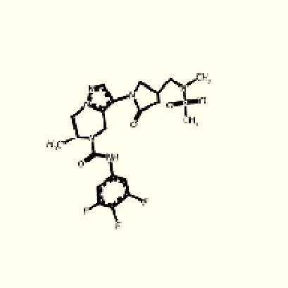 C[C@H]1Cn2ncc(N3CC(CN(C)S(C)(=O)=O)CC3=O)c2CN1C(=O)Nc1cc(F)c(F)c(F)c1